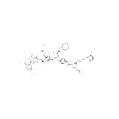 CC[C@H](C)[C@H](NC(=O)[C@H]1C[C@H](C)CCN1C)C(=O)N(CC)[C@H](C[C@@H](OC(C)=O)c1nc(C(=O)N[C@@H](Cc2ccc(NC(=O)[C@H](CCCCN)NC(=O)CCCCCN3C(=O)C=CC3=O)cc2)C[C@H](C)C(=O)OC2CCCCCCC2)cs1)C(C)C